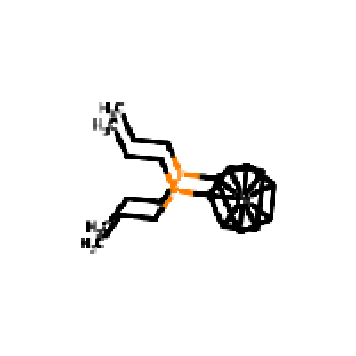 CCCP(CCC)[C]12[CH]3[CH]4[CH]5[CH]1[Fe]45321678[CH]2[CH]1[CH]6[C]7(P(CCC)CCC)[CH]28